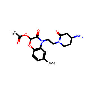 COc1ccc2c(c1)N(CCN1CCC(N)CC1=O)C(=O)C(OC(=O)C(F)(F)F)O2